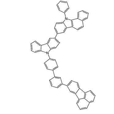 c1ccc(-n2c3ccc(-c4ccc5c(c4)c4ccccc4n5-c4ccc(-c5cccc(-c6ccc7c(c6)-c6cccc8cccc-7c68)c5)cc4)cc3c3ccc4ccccc4c32)cc1